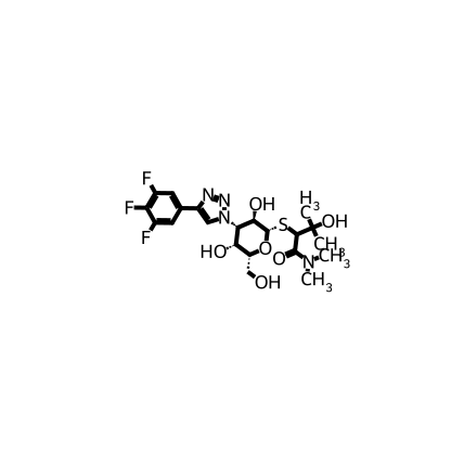 CN(C)C(=O)C(S[C@@H]1O[C@H](CO)[C@H](O)[C@H](n2cc(-c3cc(F)c(F)c(F)c3)nn2)[C@H]1O)C(C)(C)O